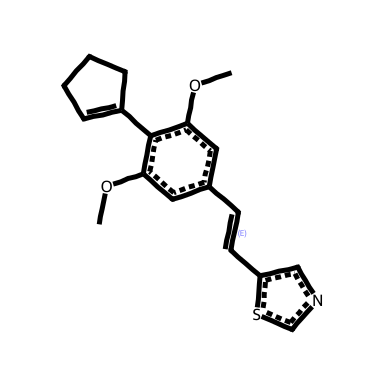 COc1cc(/C=C/c2cncs2)cc(OC)c1C1=CCCC1